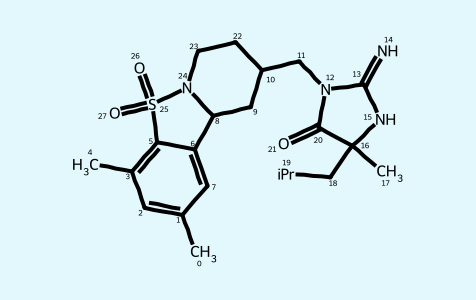 Cc1cc(C)c2c(c1)C1CC(CN3C(=N)NC(C)(CC(C)C)C3=O)CCN1S2(=O)=O